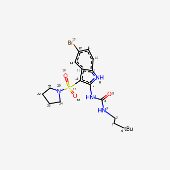 CC(C)(C)CCNC(=O)Nc1[nH]c2ccc(Br)cc2c1S(=O)(=O)N1CCCC1